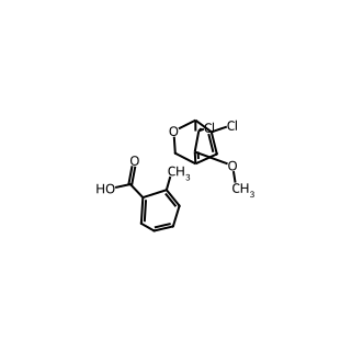 COc1c2cc(Cl)c(c1Cl)OC2.Cc1ccccc1C(=O)O